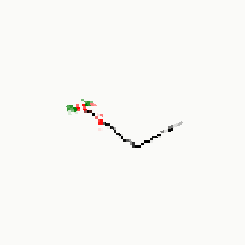 CCCCCCCC/C=C\CCCCCCCC(=O)OCC(COBr)OBr